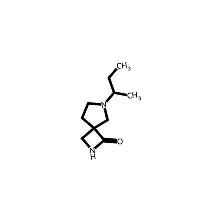 CCC(C)N1CCC2(CNC2=O)C1